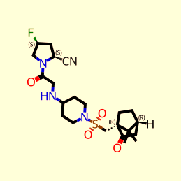 CC1(C)[C@@H]2CC[C@]1(CS(=O)(=O)N1CCC(NCC(=O)N3C[C@@H](F)C[C@H]3C#N)CC1)C(=O)C2